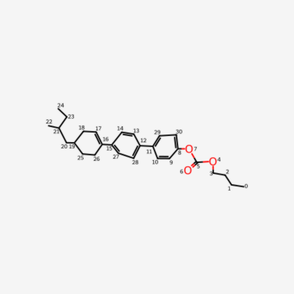 CCCCOC(=O)Oc1ccc(-c2ccc(C3=CCC(CC(C)CC)CC3)cc2)cc1